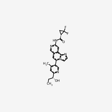 CC[C@@H](O)c1cc(C)c(-c2cc3cnc(NC(=O)[C@H]4CC4(F)F)cc3c3nccn23)cn1